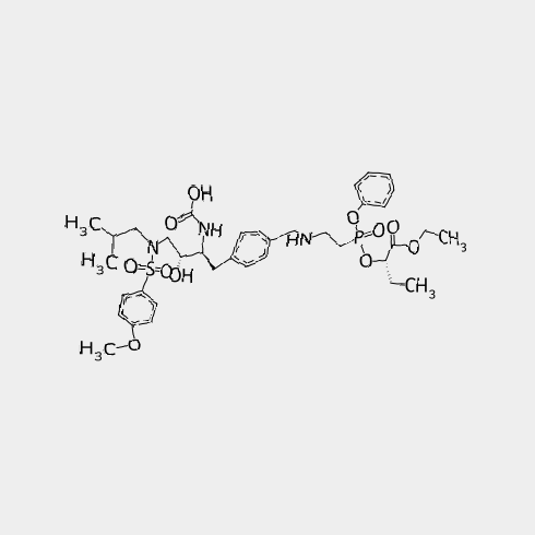 CCOC(=O)[C@H](CC)OP(=O)(CCNCc1ccc(C[C@H](NC(=O)O)[C@H](O)CN(CC(C)C)S(=O)(=O)c2ccc(OC)cc2)cc1)Oc1ccccc1